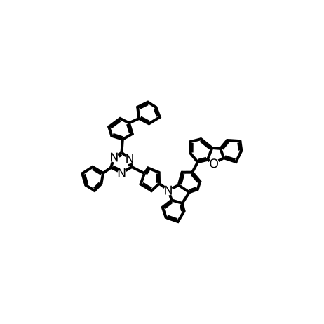 c1ccc(-c2cccc(-c3nc(-c4ccccc4)nc(-c4ccc(-n5c6ccccc6c6ccc(-c7cccc8c7oc7ccccc78)cc65)cc4)n3)c2)cc1